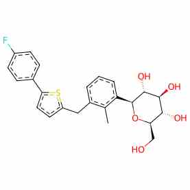 Cc1c(Cc2ccc(-c3ccc(F)cc3)s2)cccc1[C@@H]1O[C@H](CO)[C@@H](O)[C@H](O)[C@H]1O